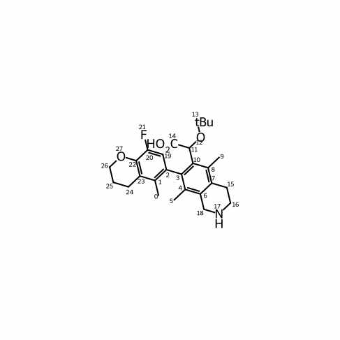 Cc1c(-c2c(C)c3c(c(C)c2C(OC(C)(C)C)C(=O)O)CCNC3)cc(F)c2c1CCCO2